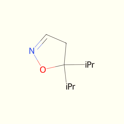 CC(C)C1(C(C)C)CC=NO1